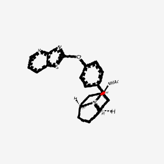 CC(=O)N[C@H]1C[C@H]2CC[C@@H](C1)N2Cc1ccc(Oc2nc3ncccc3s2)cc1